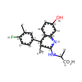 Cc1cc(-c2c(C(C)C)c(NC(C)C(=O)O)nc3cc(O)ccc23)ccc1F